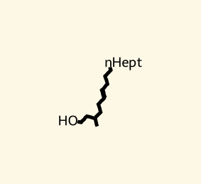 CCCCCCCCCCC=CCCC(C)CCO